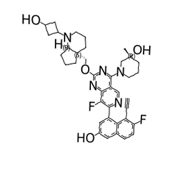 C#Cc1c(F)ccc2cc(O)cc(-c3ncc4c(N5CCC[C@@](C)(O)C5)nc(OC[C@]56CCC[C@H]5N(C5CC(O)C5)CCC6)nc4c3F)c12